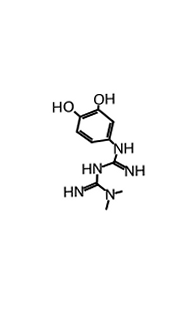 CN(C)C(=N)NC(=N)Nc1ccc(O)c(O)c1